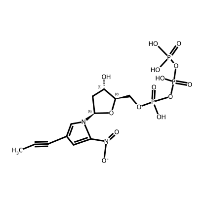 CC#Cc1cc([N+](=O)[O-])n([C@H]2C[C@H](O)[C@@H](COP(=O)(O)OP(=O)(O)OP(=O)(O)O)O2)c1